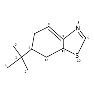 CC(C)(C)C1CC=C2N=CSC2C1